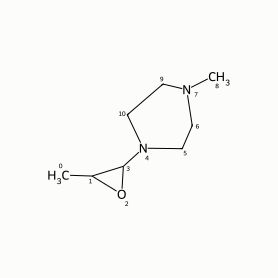 CC1OC1N1CCN(C)CC1